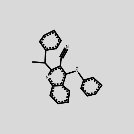 CC(c1ccccc1)c1nc2ccccc2c(Nc2ccccc2)c1C#N